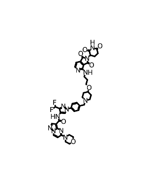 O=C1CCC(N2C(=O)c3ccnc(NCCCOC4CCN(Cc5ccc(-n6cc(NC(=O)c7cnn8ccc(N9CCOCC9)nc78)c(C(F)F)n6)cc5)CC4)c3C2=O)C(=O)N1